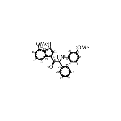 COc1cccc(NC(C(=O)c2c[nH]c3c(OC)cccc23)c2ccccc2)c1